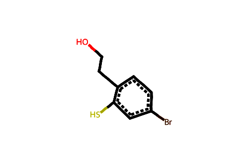 OCCc1ccc(Br)cc1S